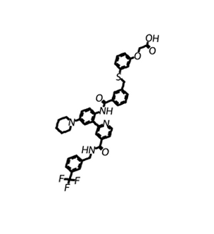 O=C(O)COc1cccc(SCc2cccc(C(=O)Nc3ccc(N4CCCCC4)cc3-c3cc(C(=O)NCc4cccc(C(F)(F)F)c4)ccn3)c2)c1